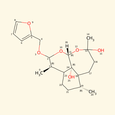 C[C@H]1C(OCc2ccco2)O[C@@H]2OC(C)(O)CCC3[C@H](C)CCC1[C@]32O